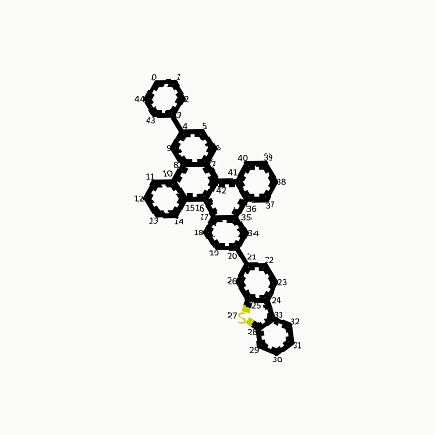 c1ccc(-c2ccc3c(c2)c2ccccc2c2c4ccc(-c5ccc6c(c5)sc5ccccc56)cc4c4ccccc4c32)cc1